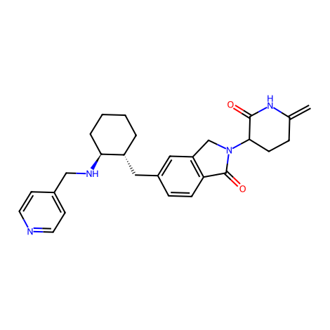 C=C1CCC(N2Cc3cc(C[C@H]4CCCC[C@@H]4NCc4ccncc4)ccc3C2=O)C(=O)N1